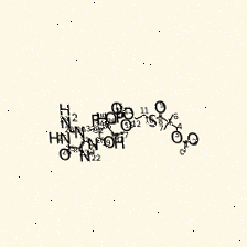 CC(=O)OCC(C)(C)C(=O)SCCO[P@]1(=O)OC[C@H]2O[C@@H](n3cnc4c(=O)[nH]c(N)nc43)[C@](C)(F)[C@@H]2O1